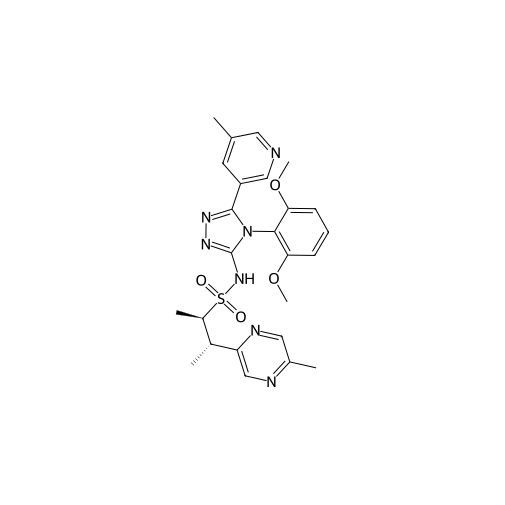 COc1cccc(OC)c1-n1c(NS(=O)(=O)[C@H](C)[C@@H](C)c2cnc(C)cn2)nnc1-c1cncc(C)c1